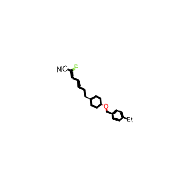 CCc1ccc(CO[C@H]2CC[C@H](CCC=CC=C(F)C#N)CC2)cc1